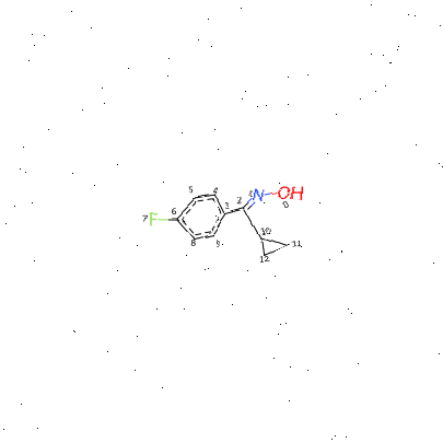 ON=C(c1ccc(F)cc1)C1CC1